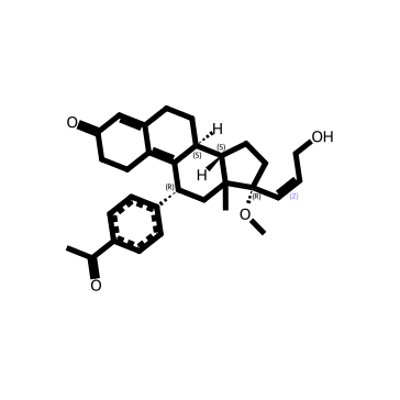 CO[C@@]1(/C=C\CO)CC[C@H]2[C@@H]3CCC4=CC(=O)CCC4=C3[C@@H](c3ccc(C(C)=O)cc3)CC21C